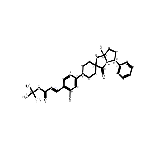 CC(C)(C)OC(=O)/C=C/c1cnc(N2CCC3(CC2)O[C@@H]2CC[C@@H](c4ccccc4)N2C3=O)cc1Cl